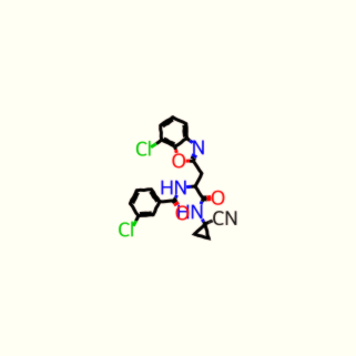 N#CC1(NC(=O)C(Cc2nc3cccc(Cl)c3o2)NC(=O)c2cccc(Cl)c2)CC1